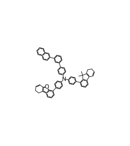 CC1(C)C2=C(C=CCC2)c2cccc(-c3ccc(N(c4ccc(-c5cccc(-c6ccc7ccccc7c6)c5)cc4)c4ccc(-c5cccc6c7c(oc56)C=CCC7)cc4)cc3)c21